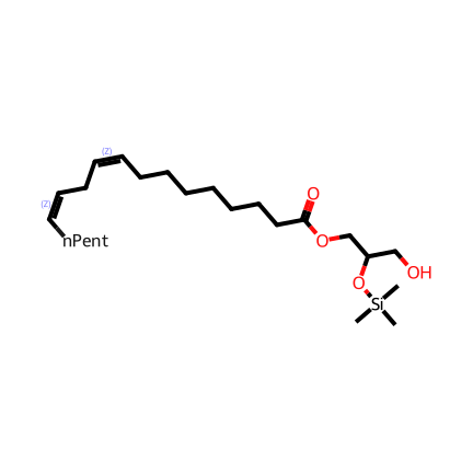 CCCCC/C=C\C/C=C\CCCCCCCC(=O)OCC(CO)O[Si](C)(C)C